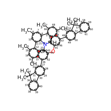 Cc1cc(C)c(-c2cc(C)cc(-c3c(C)cc(C)cc3C)c2N2c3ccc(-c4ccc5c(c4)C(C)(C)c4ccccc4-5)cc3Oc3cc(-c4ccc5c(c4)C(C)(C)c4ccccc4-5)ccc32)c(C)c1